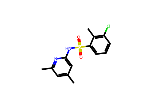 Cc1cc(C)nc(NS(=O)(=O)c2cccc(Cl)c2C)c1